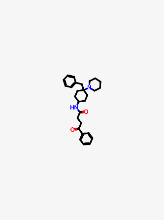 O=C(CCC(=O)c1ccccc1)NC1CCC(Cc2ccccc2)(N2CCCCC2)CC1